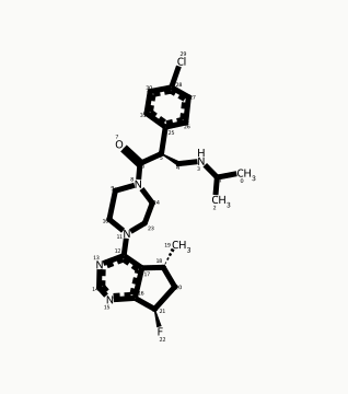 CC(C)NC[C@@H](C(=O)N1CCN(c2ncnc3c2[C@H](C)C[C@H]3F)CC1)c1ccc(Cl)cc1